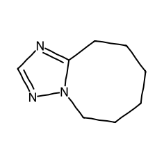 c1nc2n(n1)CCCCCC2